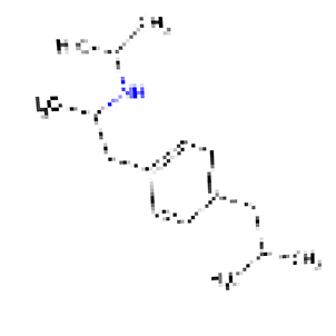 CC(C)Cc1ccc(CC(C)NC(C)C)cc1